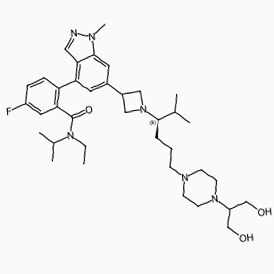 CCN(C(=O)c1cc(F)ccc1-c1cc(C2CN([C@H](CCCN3CCN(C(CO)CO)CC3)C(C)C)C2)cc2c1cnn2C)C(C)C